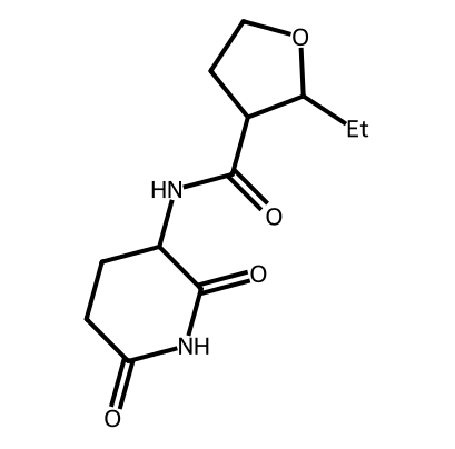 CCC1OCCC1C(=O)NC1CCC(=O)NC1=O